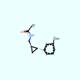 COc1cccc([C@@H]2C[C@H]2CNC(=O)C(C)C)c1